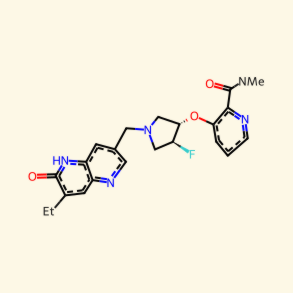 CCc1cc2ncc(CN3C[C@H](Oc4cccnc4C(=O)NC)[C@@H](F)C3)cc2[nH]c1=O